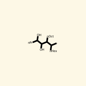 [CH2]C(CCCCCC)C(CCCCCCCC)C(O)C(O)CCC